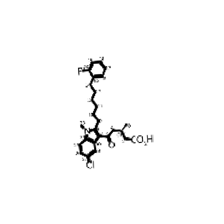 C[C@@H](CC(=O)O)CC(=O)c1c(CCCCCCc2ccccc2F)n(C)c2ccc(Cl)cc12